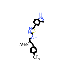 CN[C@@H](CNc1nnc(-c2ccc3[nH]ncc3c2)s1)Cc1ccc(C(F)(F)F)cc1